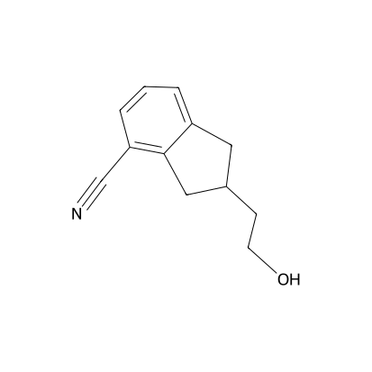 N#Cc1cccc2c1CC(CCO)C2